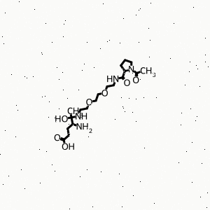 CC(=O)N1CCCC1C(=O)NCCOCCOCCNC(C)(O)C(N)CCC(=O)O